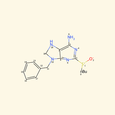 CCCC[S+]([O-])c1nc(N)c2c(n1)N(Cc1ccccc1)CN2